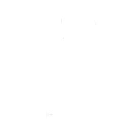 CCCCCCCCCCCC(OCC)OCC